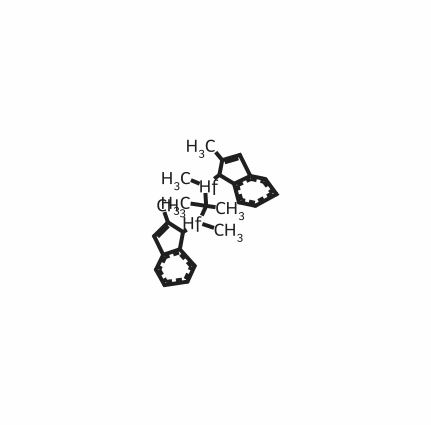 CC1=Cc2ccccc2[CH]1[Hf]([CH3])[C](C)(C)[Hf]([CH3])[CH]1C(C)=Cc2ccccc21